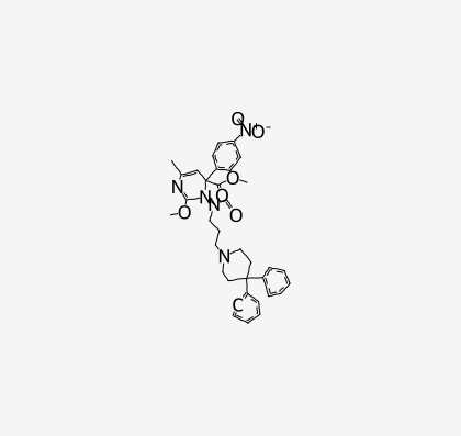 COC(=O)C1(c2ccc([N+](=O)[O-])cc2)C=C(C)N=C(OC)N1N(C=O)CCCN1CCC(c2ccccc2)(c2ccccc2)CC1